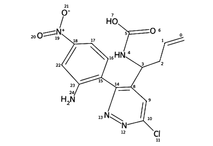 C=CCC(NC(=O)O)c1cc(Cl)nnc1-c1ccc([N+](=O)[O-])cc1N